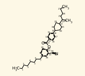 CCCCCCCCc1ccc(OC(=O)c2ccc(C3CCC(C(C)CCCC)CC3)cc2)c(C#N)c1